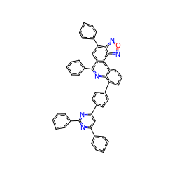 c1ccc(-c2cc(-c3ccc(-c4cccc5c4nc(-c4ccccc4)c4cc(-c6ccccc6)c6nonc6c45)cc3)nc(-c3ccccc3)n2)cc1